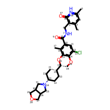 Cc1cc(C)c(CNC(=O)c2cc(Cl)c3c(c2C)O[C@@H]([C@H]2CC[C@@H](N4CC5COCC5C4)CC2)CO3)c(=O)[nH]1